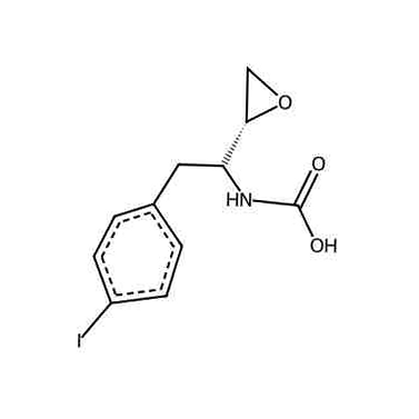 O=C(O)NC(Cc1ccc(I)cc1)[C@@H]1CO1